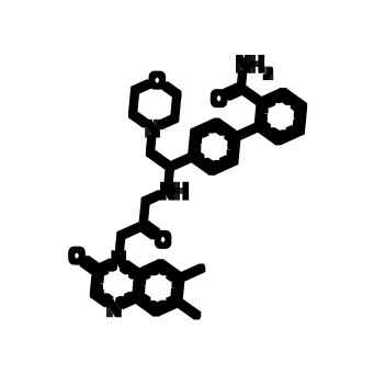 Cc1cc2ncc(=O)n(CC(=O)CNC(CN3CCOCC3)c3ccc(-c4ccccc4C(N)=O)cc3)c2cc1C